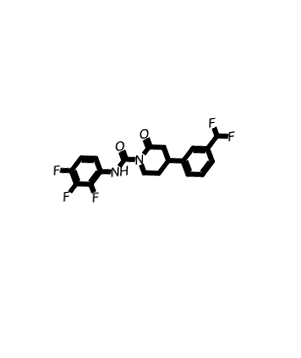 O=C1CC(c2cccc(C(F)F)c2)CCN1C(=O)Nc1ccc(F)c(F)c1F